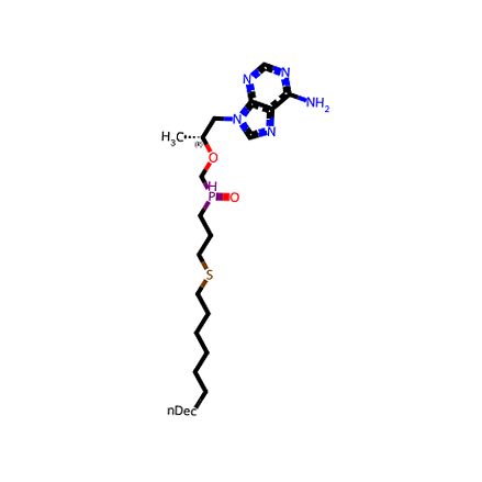 CCCCCCCCCCCCCCCCSCCC[PH](=O)CO[C@H](C)Cn1cnc2c(N)ncnc21